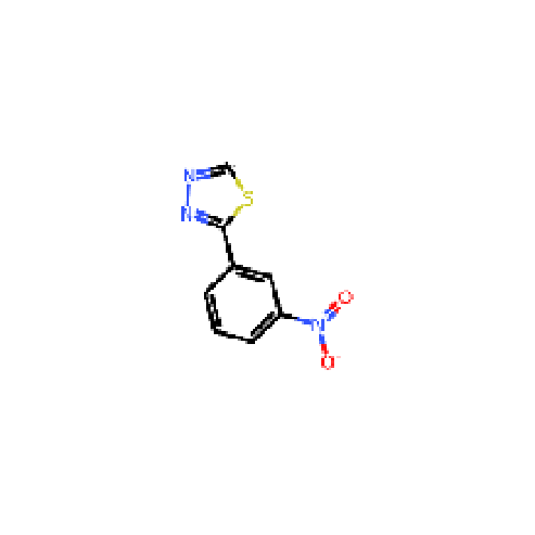 O=[N+]([O-])c1cccc(-c2nn[c]s2)c1